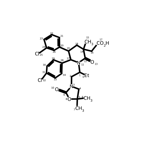 CCC(CN1CC(C)(C)OC1=O)N1C(=O)C(C)(CC(=O)O)CC(c2cccc(Cl)c2)C1c1ccc(Cl)cc1